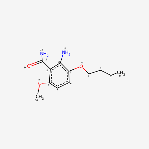 CCCCOc1ccc(OC)c(C(N)=O)c1N